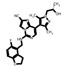 Cc1nn(C[C@H](C)O)c(C)c1-c1cnc(NCc2c(F)ccc3c2CCO3)n2cc(C#N)nc12